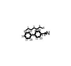 CCCCCCC.N#Cc1ccc(-c2ccccc2)cc1